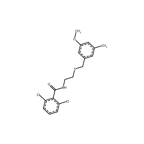 COc1cc(C)cc(CSCCNC(=O)c2c(Cl)cccc2Cl)c1